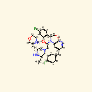 C[C@@H]1CN(CC(=O)N2c3cc(Cc4ccc(F)cc4)cnc3OCC2c2ccc(F)cc2)[C@@H](CN2CCOC[C@H]2C)CN1